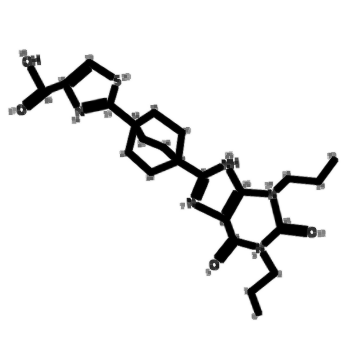 CCCn1c(=O)c2nc(C34CCC(c5nc(C(=O)O)cs5)(CC3)CC4)[nH]c2n(CCC)c1=O